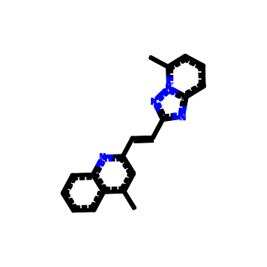 Cc1cc(C=Cc2nc3cccc(C)n3n2)nc2ccccc12